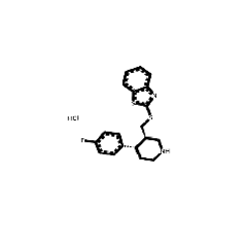 Cl.Fc1ccc([C@H]2CCNC[C@@H]2CSc2nc3ccccc3s2)cc1